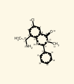 C[C@@H](N)c1cc(Cl)cc2c(=O)n(C)c(-c3ccccc3)nc12